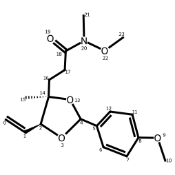 C=C[C@@H]1OC(c2ccc(OC)cc2)O[C@]1(C)CCC(=O)N(C)OC